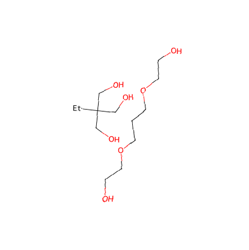 CCC(CO)(CO)CO.OCCOCCCOCCO